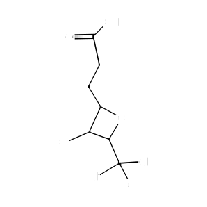 CC(=O)CCC1OC(C(Cl)(Cl)Cl)C1Cl